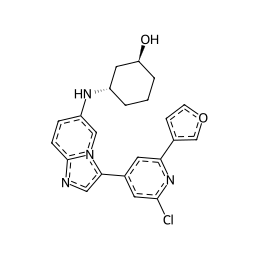 O[C@H]1CCC[C@H](Nc2ccc3ncc(-c4cc(Cl)nc(-c5ccoc5)c4)n3c2)C1